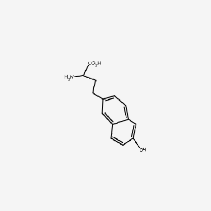 NC(CCc1ccc2cc(O)ccc2c1)C(=O)O